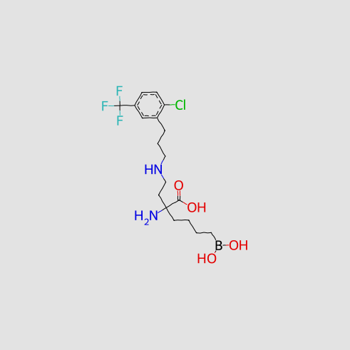 NC(CCCCB(O)O)(CCNCCCc1cc(C(F)(F)F)ccc1Cl)C(=O)O